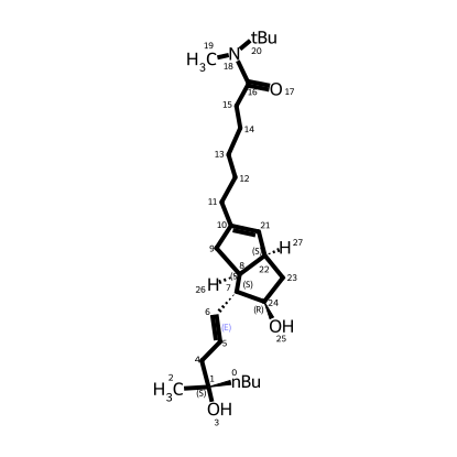 CCCC[C@](C)(O)C/C=C/[C@@H]1[C@H]2CC(CCCCCC(=O)N(C)C(C)(C)C)=C[C@H]2C[C@H]1O